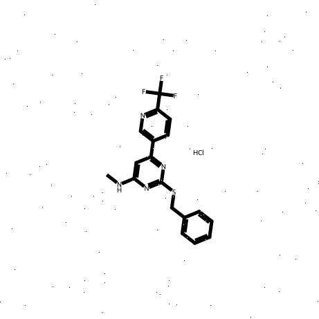 CNc1cc(-c2ccc(C(F)(F)F)nc2)nc(SCc2ccccc2)n1.Cl